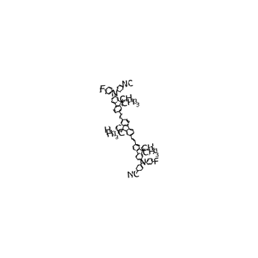 [C-]#[N+]c1ccc(N(c2ccc(F)cc2)c2ccc3c(c2)C(C)(C)c2cc(/C=C/c4ccc5c(c4)C(C)(C)c4cc(/C=C/c6ccc7c(c6)C(C)(C)c6cc(N(c8ccc(F)cc8)c8ccc(C#N)cc8)ccc6-7)ccc4-5)ccc2-3)cc1